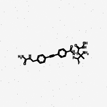 CC(N)(C(F)F)[C@H](NC(=O)c1ccc(C#Cc2ccc(CNC(N)=O)cc2)cc1)C(=O)NO